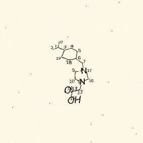 CC(C)C1CCC(CN2CCN(CC(=O)O)CC2)CC1